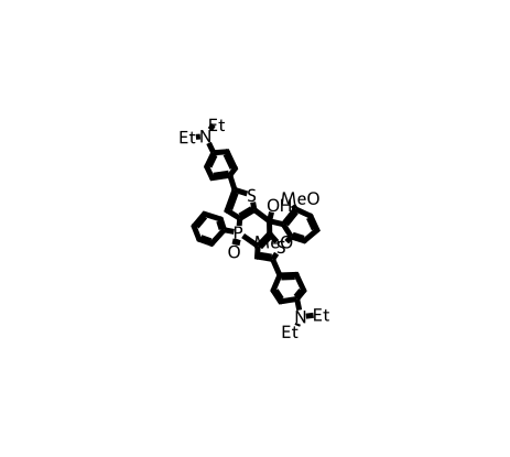 CCN(CC)c1ccc(-c2cc3c(s2)C(O)(c2c(OC)cccc2OC)c2sc(-c4ccc(N(CC)CC)cc4)cc2P3(=O)c2ccccc2)cc1